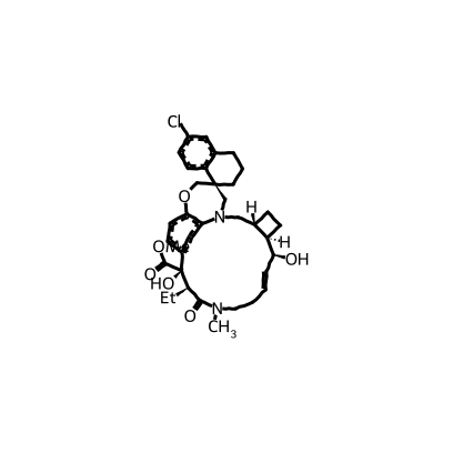 CC[C@@H]1C(=O)N(C)CC/C=C/[C@H](O)[C@@H]2CC[C@H]2CN2C[C@@]3(CCCc4cc(Cl)ccc43)COc3ccc(cc32)[C@@]1(O)C(=O)OC